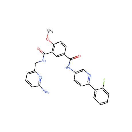 Nc1cccc(CNC(=O)c2cc(C(=O)Nc3ccc(-c4ccccc4F)nc3)ccc2OC(F)(F)F)n1